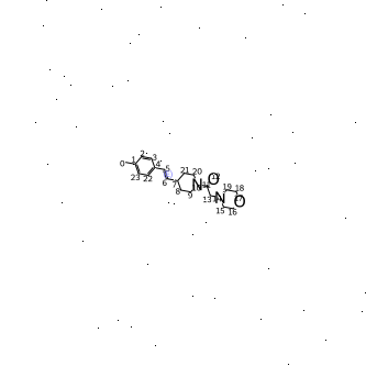 Cc1ccc(/C=C/C2CCN(C(=O)CN3CCOCC3)CC2)cc1